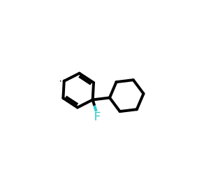 FC1(C2CCCCC2)C=C[CH]C=C1